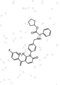 C=C(c1ccc(F)cc1)c1ccc(=O)n(-c2ccc(CN[C@H](C(=O)OC3CCCC3)c3ccccc3)cc2)c1N